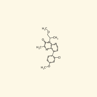 COCC(C)n1c(=O)c(C)nc2c(-c3ccc(OC)cc3Cl)ccnc21